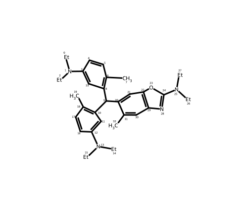 CCN(CC)c1ccc(C)c(C(c2cc(N(CC)CC)ccc2C)c2cc3oc(N(CC)CC)nc3cc2C)c1